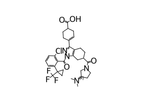 CN(C)[C@@H]1CCN(C(=O)C2CCc3c(C4=CCC(C(=O)O)CC4)nn(C(=O)c4c(Cl)cccc4C4(C(F)(F)F)CC4)c3C2)C1